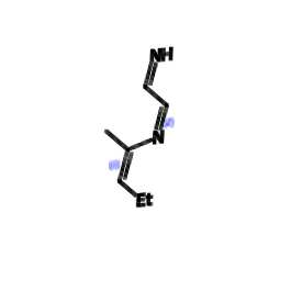 CC/C=C(C)\N=C/C=N